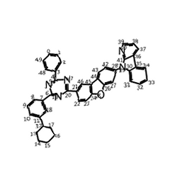 c1ccc(-c2nc(-c3cccc(C4CCCCC4)c3)nc(-c3ccc4oc5cc(-n6c7ccccc7c7cccnc76)ccc5c4c3)n2)cc1